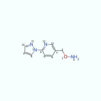 NOCc1ccc(-n2cccn2)nc1